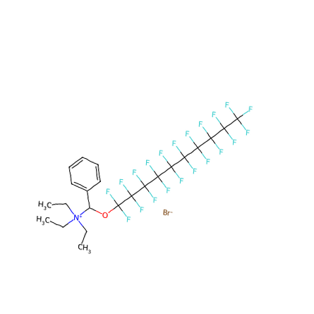 CC[N+](CC)(CC)C(OC(F)(F)C(F)(F)C(F)(F)C(F)(F)C(F)(F)C(F)(F)C(F)(F)C(F)(F)C(F)(F)C(F)(F)F)c1ccccc1.[Br-]